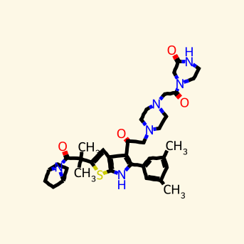 Cc1cc(C)cc(-c2[nH]c3sc(C(C)(C)C(=O)N4C5CCC4CC5)cc3c2C(=O)CN2CCN(CC(=O)N3CCNC(=O)C3)CC2)c1